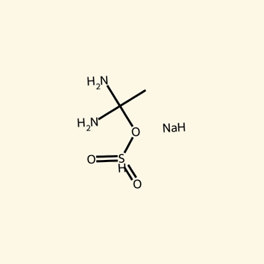 CC(N)(N)O[SH](=O)=O.[NaH]